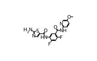 COc1ccc(NC(=O)c2cc(NC(=O)c3cnc(N)s3)c(F)cc2F)nc1